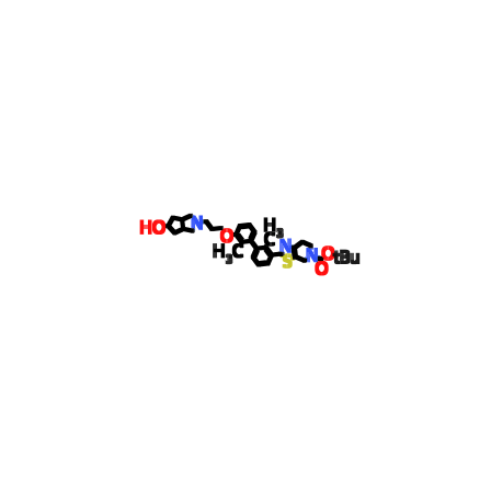 Cc1c(OCCCN2CC3CC(O)CC3C2)cccc1-c1cccc(-c2nc3c(s2)CN(C(=O)OC(C)(C)C)CC3)c1C